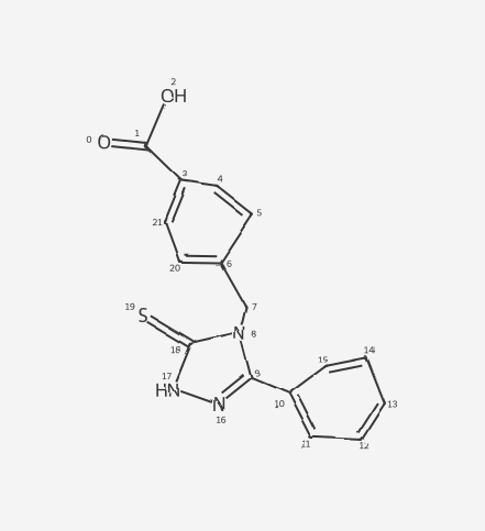 O=C(O)c1ccc(Cn2c(-c3ccccc3)n[nH]c2=S)cc1